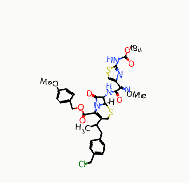 CO/N=C(\C(=O)N[C@@H]1C(=O)N2C(C(=O)OCc3ccc(OC)cc3)=C(C(C)Cc3ccc(CCl)cc3)CS[C@H]12)c1csc(NC(=O)OC(C)(C)C)n1